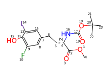 COC(=O)[C@H](CCc1cc(F)c(O)c(I)c1)NC(=O)OC(C)(C)C